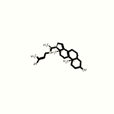 CC(=CCO[C@@H](C)[C@H]1CC=C2C3=C(CC[C@@]21C)[C@@]1(C)CCC(O)CC1CC3)C(C)C